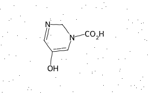 O=C(O)N1C=C(O)C=NC1